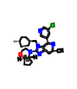 C[C@H]1CC[C@H](Cn2c(N3CCO[C@@H]4CCC[C@H]43)nc3cc(C#N)nc(-c4cncc(Cl)c4)c32)CC1